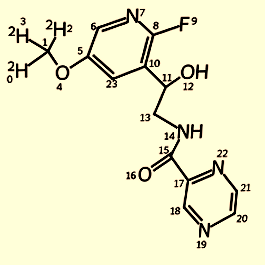 [2H]C([2H])([2H])Oc1cnc(F)c(C(O)CNC(=O)c2cnccn2)c1